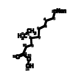 C=C.CCCCCCCCCCCCCCCCCC(=O)OO